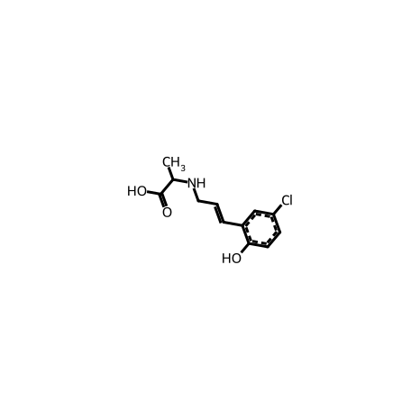 CC(NCC=Cc1cc(Cl)ccc1O)C(=O)O